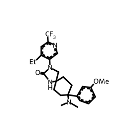 CCc1cc(C(F)(F)F)ncc1N1CC2(CCC(c3cccc(OC)c3)(N(C)C)CC2)NC1=O